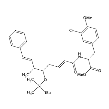 COC(=O)[C@@H](Cc1ccc(OC)c(Cl)c1)NC(=O)/C=C/C[C@H](O[Si](C)(C)C(C)(C)C)[C@H](C)/C=C/c1ccccc1